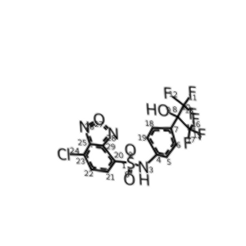 O=S(=O)(Nc1ccc(C(O)(C(F)(F)F)C(F)(F)F)cc1)c1ccc(Cl)c2nonc12